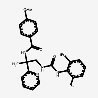 COc1ccc(C(=O)NC(C)(CNC(=O)Nc2c(C(C)C)cccc2C(C)C)c2ccccn2)cc1